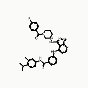 Cc1cc(NC(=O)c2cccc(Nc3ccnc4[nH]nc(N[C@@H]5CCCN(C(=O)c6ccc(F)cc6)C5)c34)c2)ccc1C(C)C